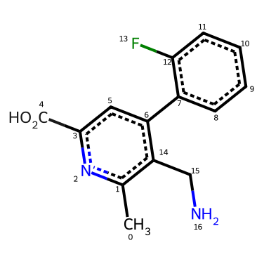 Cc1nc(C(=O)O)cc(-c2ccccc2F)c1CN